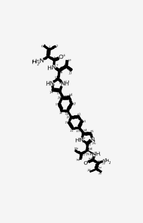 CC(C)=C(N)C(=O)NC(=C(C)C)C1NC=C(c2ccc(-c3ccc(-c4cnc([C@@H](NC(=O)C(N)=C(C)C)C(C)C)[nH]4)cc3)cc2)N1